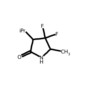 CC(C)C1C(=O)NC(C)C1(F)F